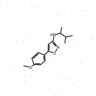 COc1ccc(-c2cc(NC(C)C(C)C)no2)cc1